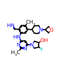 Cc1nc(Nc2cc(C3CCN(C4COC4)CC3)c(C)cc2C=N)cc(N2CC(O)C(F)C2)n1